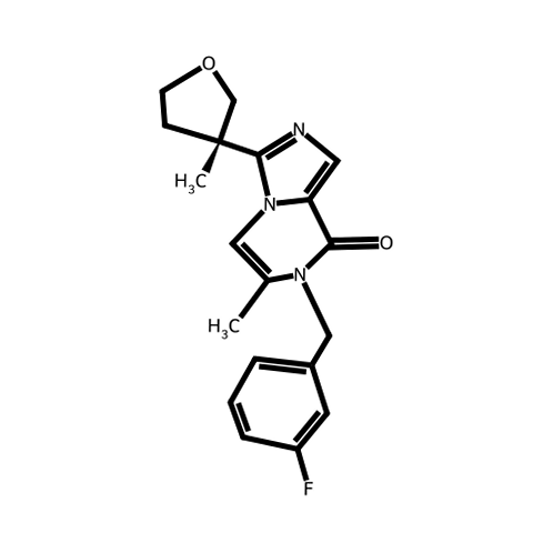 Cc1cn2c([C@]3(C)CCOC3)ncc2c(=O)n1Cc1cccc(F)c1